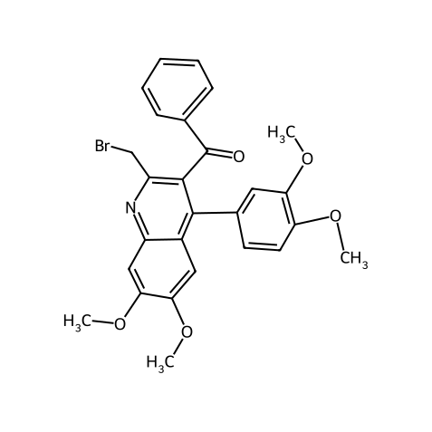 COc1ccc(-c2c(C(=O)c3ccccc3)c(CBr)nc3cc(OC)c(OC)cc23)cc1OC